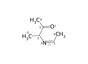 C/C=N\C(C)C(C)=O